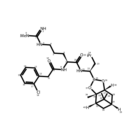 CNC(=N)NCCC[C@H](NC(=O)Cc1ccccc1Cl)C(=O)N[C@@H](CC(C)C)B1O[C@@H]2C[C@@H]3C[C@@H](C3(C)C)[C@]2(C)O1